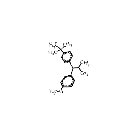 COc1ccc(C(c2ccc(C(C)(C)C)cc2)C(C)C)cc1